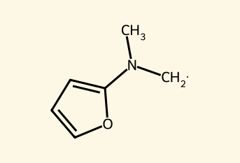 [CH2]N(C)c1ccco1